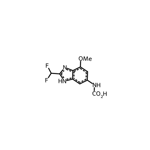 COc1cc(NC(=O)O)cc2[nH]c(C(F)F)nc12